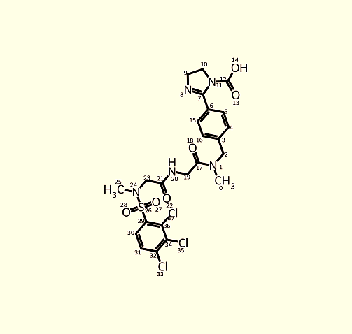 CN(Cc1ccc(C2=NCCN2C(=O)O)cc1)C(=O)CNC(=O)CN(C)S(=O)(=O)c1ccc(Cl)c(Cl)c1Cl